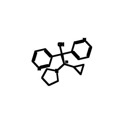 OC(c1cccnc1)(c1cccnc1)[C@@H](C1CC1)N1CCCC1